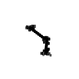 CC(C)C1CC(=O)N(CCCCCC(=O)NCC(NC(=O)CCCCCCCCCCCCCCCC(C)(C(=O)O)C(=O)O)C(=O)O)C1=O